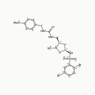 COc1ccc(CNC(=O)NC[C@H]2C[C@@H](NS(=O)(=O)c3cc(Br)ccc3Br)CN2C#N)cc1